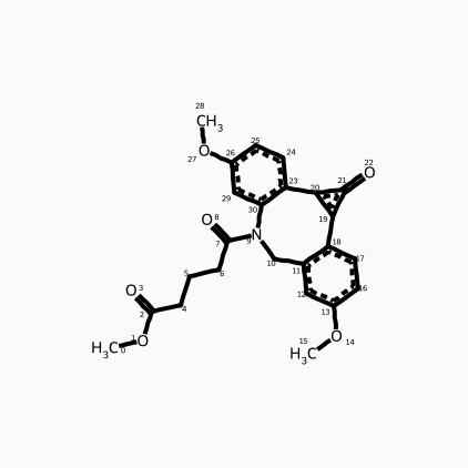 COC(=O)CCCC(=O)N1Cc2cc(OC)ccc2-c2c(c2=O)-c2ccc(OC)cc21